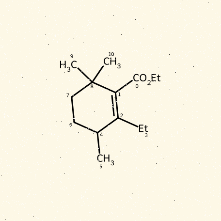 CCOC(=O)C1=C(CC)C(C)CCC1(C)C